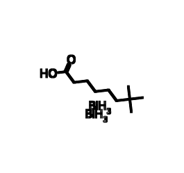 CC(C)(C)CCCCCC(=O)O.[BiH3].[BiH3]